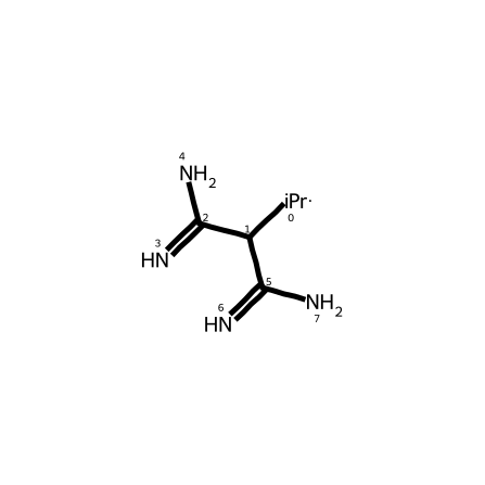 C[C](C)C(C(=N)N)C(=N)N